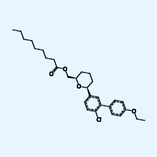 CCCCCCCCC(=O)OC[C@H]1CCC[C@@H](c2ccc(Cl)c(-c3ccc(OCC)cc3)c2)O1